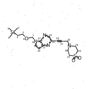 C[Si](C)(C)CCOCn1ccc2nc(C#CCN3CCS(=O)(=O)CC3)cnc21